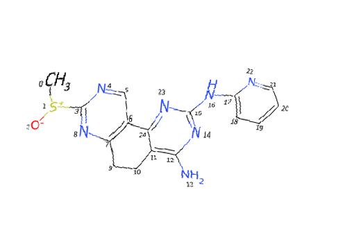 C[S+]([O-])c1ncc2c(n1)CCc1c(N)nc(Nc3ccccn3)nc1-2